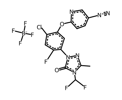 Cc1nn(-c2cc(Oc3ccc([N+]#N)cn3)c(Cl)cc2F)c(=O)n1C(F)F.F[B-](F)(F)F